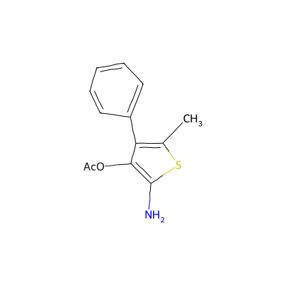 CC(=O)Oc1c(N)sc(C)c1-c1ccccc1